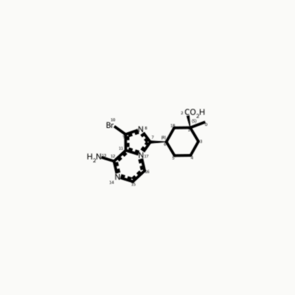 C[C@]1(C(=O)O)CCC[C@@H](c2nc(Br)c3c(N)nccn23)C1